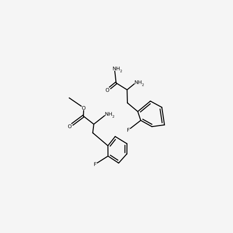 COC(=O)C(N)Cc1ccccc1F.NC(=O)C(N)Cc1ccccc1F